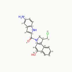 Nc1ccc2[nH]c(C(=O)N3CC(CCl)c4c3cc(O)c3ccccc43)cc2c1